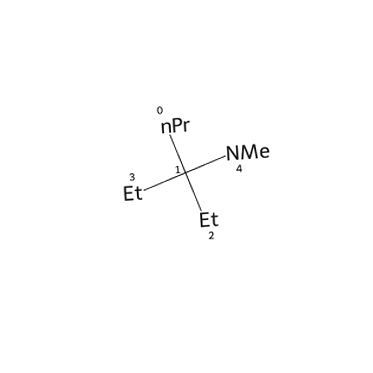 CCCC(CC)(CC)NC